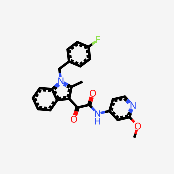 COc1cc(NC(=O)C(=O)c2c(C)n(Cc3ccc(F)cc3)c3ccccc23)ccn1